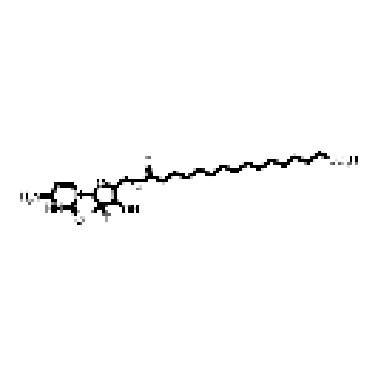 NC1C=CN(C2OC(COC(=O)CCCCCCCCCCCCCCC(=O)O)C(O)C2(F)F)C(=O)N1